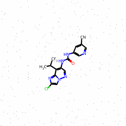 CC(c1c(NC(=O)Nc2cncc(C#N)c2)cnn2cc(Cl)nc12)C(F)(F)F